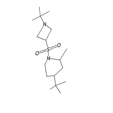 CC1CC(C(C)(C)C)CCN1S(=O)(=O)C1CN(C(C)(C)C)C1